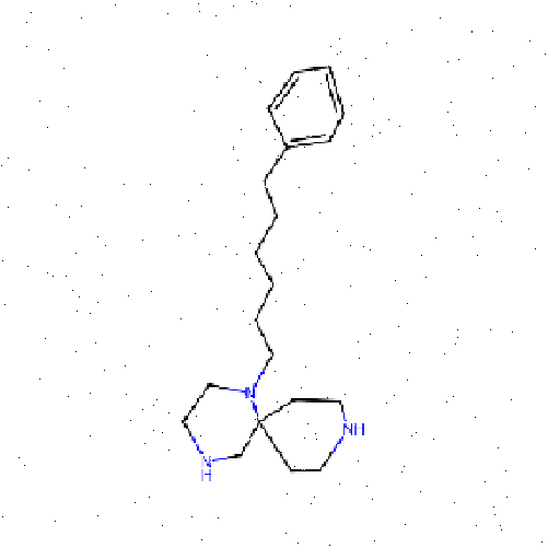 c1ccc(CCCCCCN2CCNCC23CCNCC3)cc1